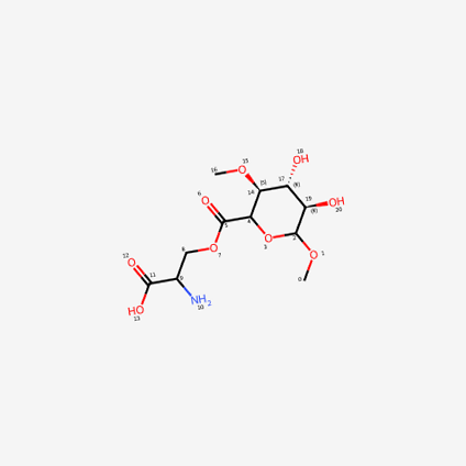 COC1OC(C(=O)OCC(N)C(=O)O)[C@@H](OC)[C@H](O)[C@H]1O